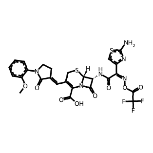 COc1ccccc1N1CC/C(=C\C2=C(C(=O)O)N3C(=O)[C@@H](NC(=O)/C(=N\OC(=O)C(F)(F)F)c4csc(N)n4)[C@H]3SC2)C1=O